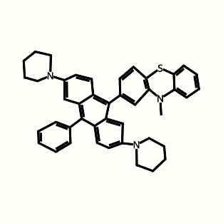 CN1c2ccccc2Sc2ccc(-c3c4ccc(N5CCCCC5)cc4c(-c4ccccc4)c4ccc(N5CCCCC5)cc34)cc21